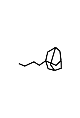 C[CH]CCC12CC3CC(CC(C3)C1)C2